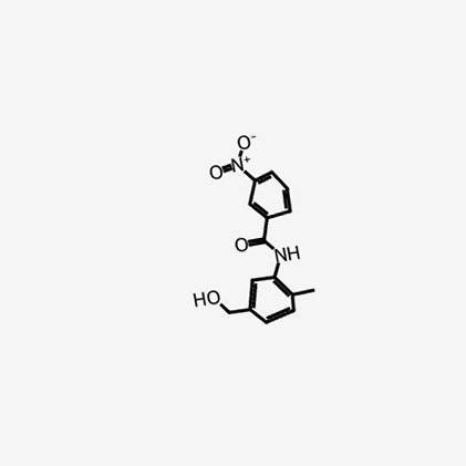 Cc1ccc(CO)cc1NC(=O)c1cccc([N+](=O)[O-])c1